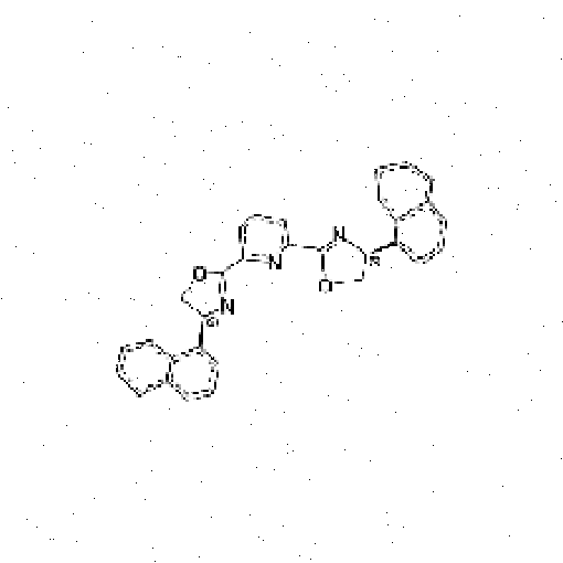 c1cc(C2=N[C@@H](c3cccc4ccccc34)CO2)nc(C2=N[C@@H](c3cccc4ccccc34)CO2)c1